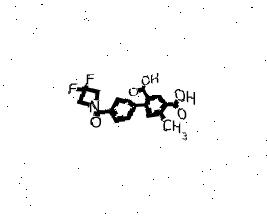 Cc1cc(-c2ccc(C(=O)N3CC(F)(F)C3)cc2)c(C(=O)O)cc1C(=O)O